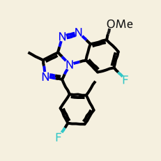 COc1cc(F)cc2c1nnc1c(C)nc(-c3cc(F)ccc3C)n12